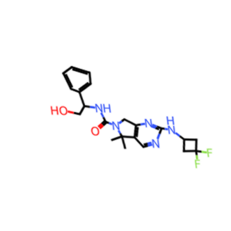 CC1(C)c2cnc(NC3CC(F)(F)C3)nc2CN1C(=O)NC(CO)c1ccccc1